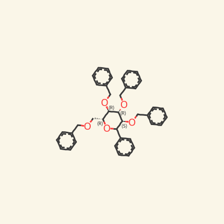 c1ccc(COC[C@H]2OC(c3ccccc3)[C@H](OCc3ccccc3)[C@@H](OCc3ccccc3)[C@@H]2OCc2ccccc2)cc1